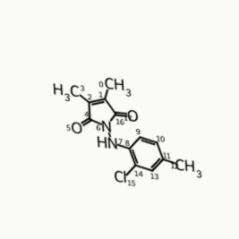 CC1=C(C)C(=O)N(Nc2ccc(C)cc2Cl)C1=O